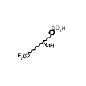 O=S(=O)(O)c1ccc(CCCCCCCCCCCCOC(F)(F)F)cc1.[NaH]